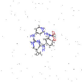 Cc1cnc(Nc2ccncc2)nc1Nc1ccc2oc(=O)[nH]c2c1